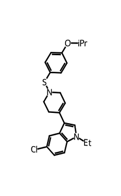 CCn1cc(C2=CCN(Sc3ccc(OC(C)C)cc3)CC2)c2cc(Cl)ccc21